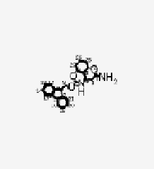 NC(=O)C[C@@H](NC(=O)OCC1c2ccccc2-c2ccccc21)C1CCCCC1